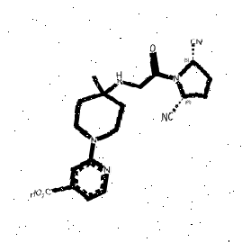 CC1(NCC(=O)N2[C@H](C#N)CC[C@@H]2C#N)CCN(c2cc(C(=O)O)ccn2)CC1